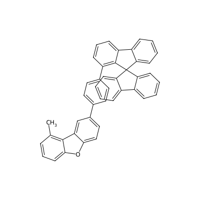 Cc1cccc2oc3ccc(-c4ccc(-c5cccc6c5C5(c7ccccc7-c7ccccc75)c5ccccc5-6)cc4)cc3c12